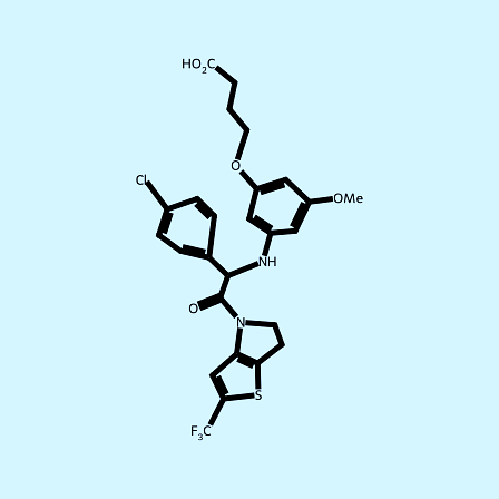 COc1cc(NC(C(=O)N2CCc3sc(C(F)(F)F)cc32)c2ccc(Cl)cc2)cc(OCCCC(=O)O)c1